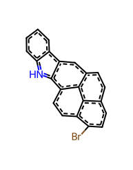 Brc1ccc2ccc3cc4c5ccccc5[nH]c4c4ccc1c2c34